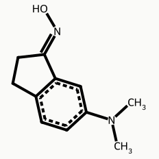 CN(C)c1ccc2c(c1)/C(=N/O)CC2